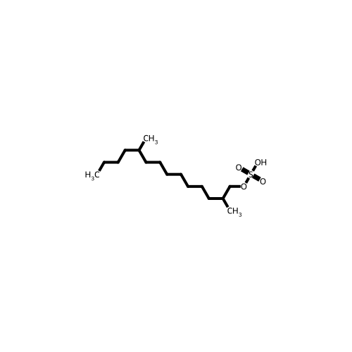 CCCCC(C)CCCCCCCC(C)COS(=O)(=O)O